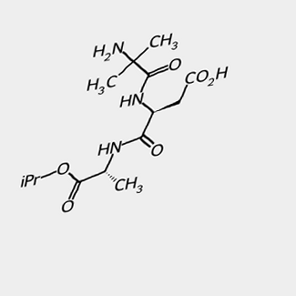 CC(C)OC(=O)[C@@H](C)NC(=O)[C@H](CC(=O)O)NC(=O)C(C)(C)N